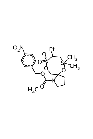 C.CCC1C[Si](C)(C)OC2(CCCN2C(=O)OCc2ccc([N+](=O)[O-])cc2)COS1(=O)=O